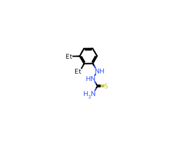 CCc1cccc(NNC(N)=S)c1CC